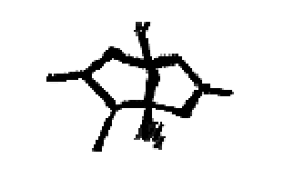 C[C@H]1C[C@@H]2CN(C)C[C@]2(N)[C@H]1C